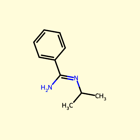 CC(C)N=C(N)c1ccccc1